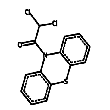 O=C(C(Cl)Cl)N1c2ccccc2Sc2ccccc21